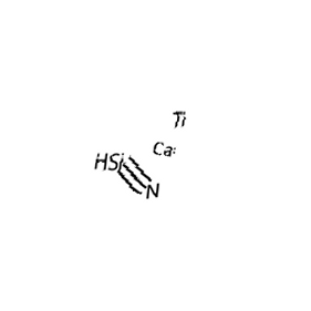 N#[SiH].[Ca].[Ti]